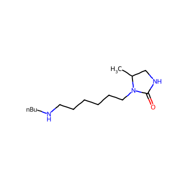 CCCCNCCCCCCN1C(=O)NCC1C